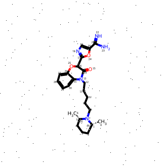 C[C@@H]1CCC[C@H](C)N1CCCCCN1C(=O)C(c2ncc(C(=N)N)o2)Oc2ccccc21